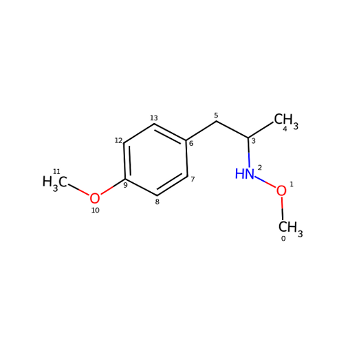 CONC(C)Cc1ccc(OC)cc1